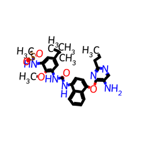 CCCc1ncc(N)c(Oc2ccc(NC(=O)Nc3cc(C(C)(C)C)cc(NS(C)(=O)=O)c3OC)c3ccccc23)n1